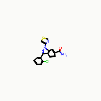 NC(=O)c1ccc2c(-c3ccccc3Cl)nn(-c3cscn3)c2c1